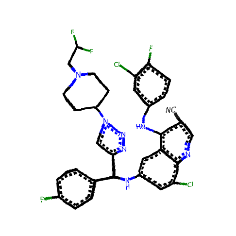 N#Cc1cnc2c(Cl)cc(NC(c3ccc(F)cc3)c3cn(C4CCN(CC(F)F)CC4)nn3)cc2c1Nc1ccc(F)c(Cl)c1